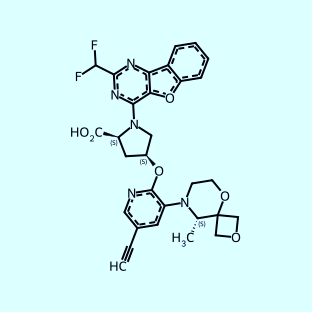 C#Cc1cnc(O[C@H]2C[C@@H](C(=O)O)N(c3nc(C(F)F)nc4c3oc3ccccc34)C2)c(N2CCOC3(COC3)[C@@H]2C)c1